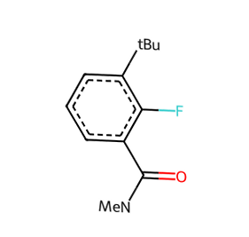 CNC(=O)c1cccc(C(C)(C)C)c1F